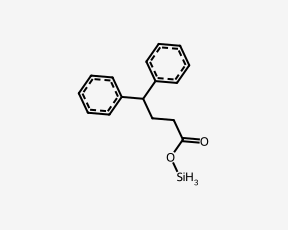 O=C(CCC(c1ccccc1)c1ccccc1)O[SiH3]